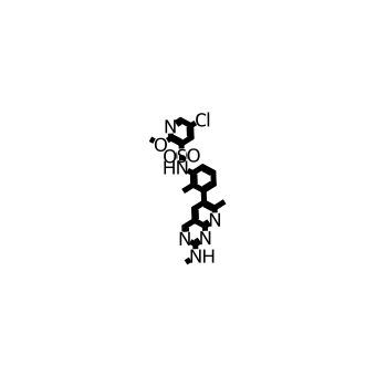 CNc1ncc2cc(-c3cccc(NS(=O)(=O)c4cc(Cl)cnc4OC)c3C)c(C)nc2n1